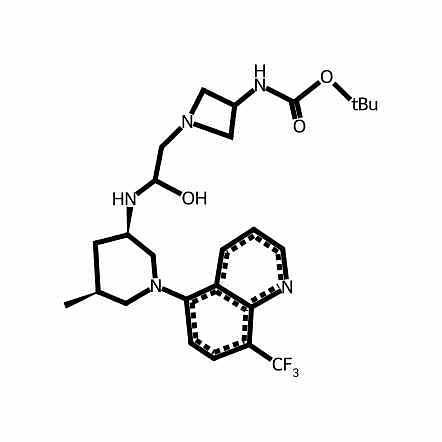 C[C@H]1C[C@@H](NC(O)CN2CC(NC(=O)OC(C)(C)C)C2)CN(c2ccc(C(F)(F)F)c3ncccc23)C1